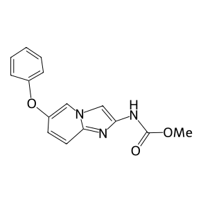 COC(=O)Nc1cn2cc(Oc3ccccc3)ccc2n1